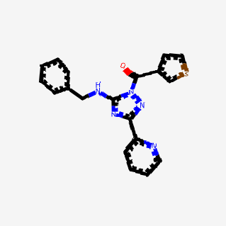 O=C(c1ccsc1)n1nc(-c2ccccn2)nc1NCc1ccccc1